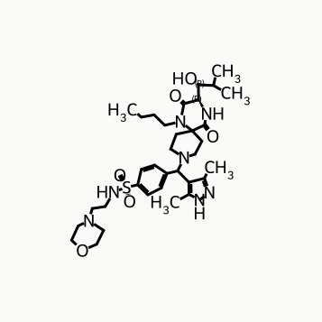 CCCCN1C(=O)[C@@H]([C@H](O)C(C)C)NC(=O)C12CCN(C(c1ccc(S(=O)(=O)NCCN3CCOCC3)cc1)c1c(C)n[nH]c1C)CC2